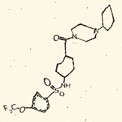 O=C(C1CCC(NS(=O)(=O)c2ccc(OC(F)(F)F)cc2)CC1)N1CCN(C2CCCC2)CC1